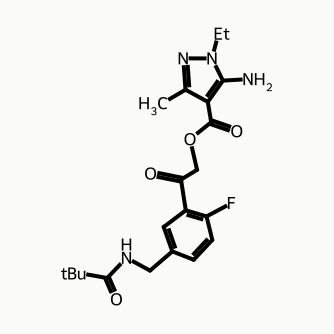 CCn1nc(C)c(C(=O)OCC(=O)c2cc(CNC(=O)C(C)(C)C)ccc2F)c1N